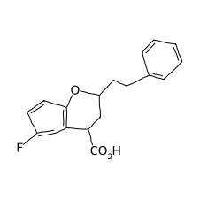 O=C(O)C1CC(CCc2ccccc2)Oc2ccc(F)cc21